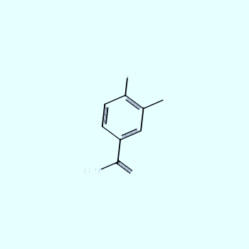 Cc1cc(C(N)=O)ccc1S